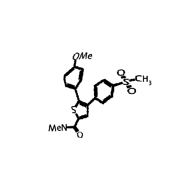 CNC(=O)c1cc(-c2ccc(S(C)(=O)=O)cc2)c(-c2ccc(OC)cc2)s1